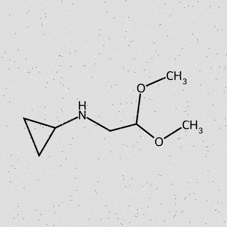 COC(CNC1CC1)OC